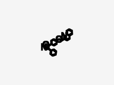 c1ccc(-c2cnoc2-c2ccc(OCc3ccc4ccccc4n3)cc2)cc1